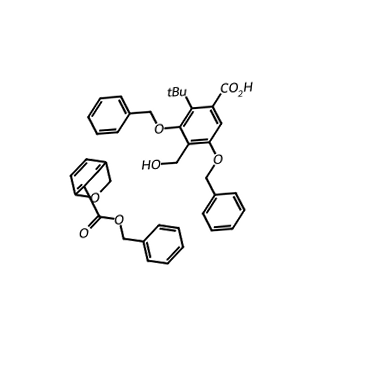 CC(C)(C)c1c(C(=O)O)cc(OCc2ccccc2)c(CO)c1OCc1ccccc1.O=C(OCc1ccccc1)c1cc2ccc1OC2